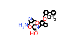 Cc1c(COc2cc(OCc3cncc(C(N)=O)c3)c(CN3CCCC[C@H]3CO)c3c2CCC3)cccc1-c1ccccc1